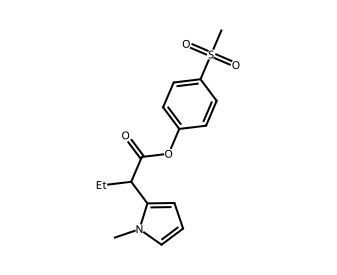 CCC(C(=O)Oc1ccc(S(C)(=O)=O)cc1)c1cccn1C